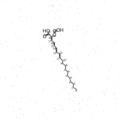 CCCCCCCCCCC/C=C/C=C/C=C/C=C(\OOO)C(=O)O